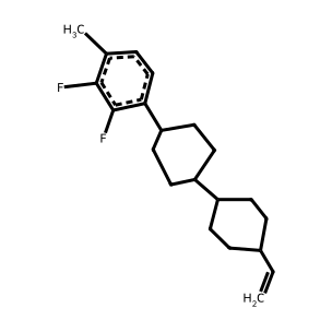 C=CC1CCC(C2CCC(c3ccc(C)c(F)c3F)CC2)CC1